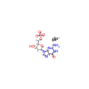 Nc1nc2c(ncn2[C@H]2C[C@H](O)[C@@H](COP(=O)([O-])[O-])O2)c(=O)[nH]1.[Na+].[Na+]